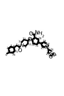 Cc1ccc(CC(=O)N2CCC(Oc3ccc(-c4cnn(C5CS(=O)(=O)C5)c4)cc3C(N)=O)CC2)cc1